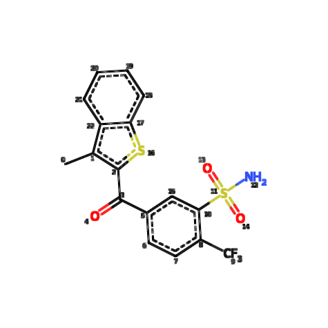 Cc1c(C(=O)c2ccc(C(F)(F)F)c(S(N)(=O)=O)c2)sc2ccccc12